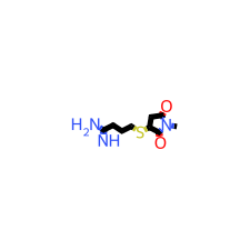 CN1C(=O)CC(SCCCC(=N)N)C1=O